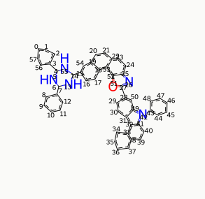 c1ccc(C2NC(c3ccccc3)NC(c3ccc4c(ccc5ccc6nc(-c7ccc8c9c%10ccccc%10ccc9n(-c9ccccc9)c8c7)oc6c54)c3)N2)cc1